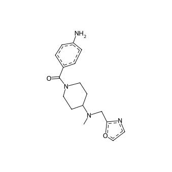 CN(Cc1ncco1)C1CCN(C(=O)c2ccc(N)cc2)CC1